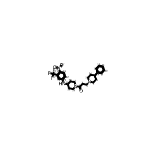 O=C(CCN1CCC(c2ccccc2)CC1)N1CCC(Nc2ccc([N+](=O)[O-])c(C(F)(F)F)c2)CC1